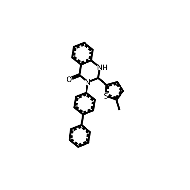 Cc1ccc(C2Nc3ccccc3C(=O)N2c2ccc(-c3ccccc3)cc2)s1